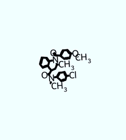 CCN(C(=O)C1CC(C)N(C(=O)c2ccc(OC)cc2)c2ccccc21)c1ccc(Cl)cc1